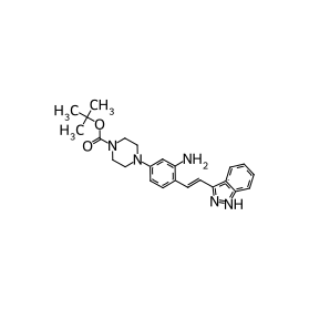 CC(C)(C)OC(=O)N1CCN(c2ccc(/C=C/c3n[nH]c4ccccc34)c(N)c2)CC1